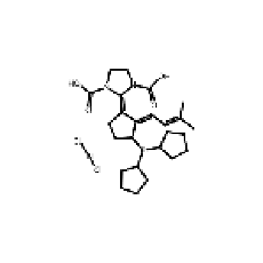 CC(C)=CC=C1C(=C2N(C(=O)O)CCN2C(=O)O)CCC1P(C1CCCC1)C1CCCC1.[Cl][Ru][Cl]